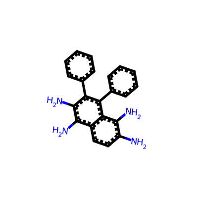 Nc1ccc2c(N)c(N)c(-c3ccccc3)c(-c3ccccc3)c2c1N